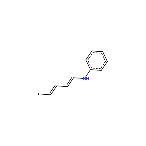 [CH]C=CC=CNc1ccccc1